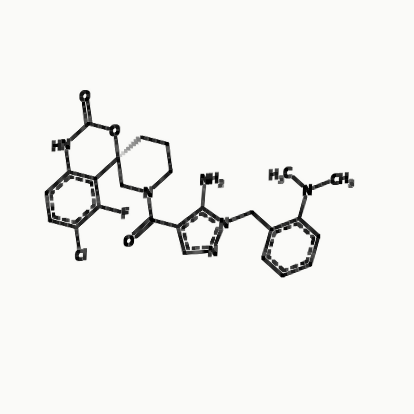 CN(C)c1ccccc1Cn1ncc(C(=O)N2CCC[C@@]3(C2)OC(=O)Nc2ccc(Cl)c(F)c23)c1N